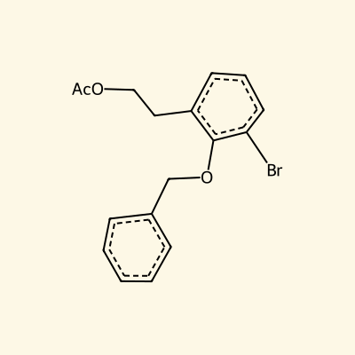 CC(=O)OCCc1cccc(Br)c1OCc1ccccc1